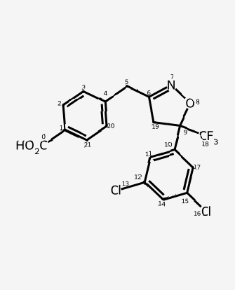 O=C(O)c1ccc(CC2=NOC(c3cc(Cl)cc(Cl)c3)(C(F)(F)F)C2)cc1